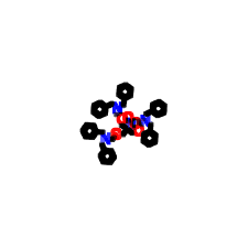 O=[N+]([O-])C(COCN(Cc1ccccc1)Cc1ccccc1)(COCN(Cc1ccccc1)Cc1ccccc1)COCN(Cc1ccccc1)Cc1ccccc1